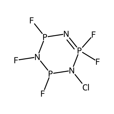 FN1P(F)N=P(F)(F)N(Cl)P1F